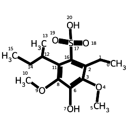 CCc1c(OC)c(O)c(OC)c(C(C)CC)c1S(=O)(=O)O